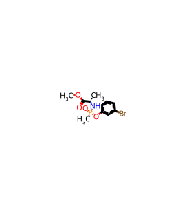 COC(=O)[C@H](C)NP(C)(=O)Oc1cccc(Br)c1